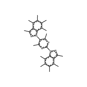 Cc1nc(-n2nc(C)c3c(C)c(C)c(C)c(C)c32)nc(C)c1-n1nc(C)c2c(C)c(C)c(C)c(C)c21